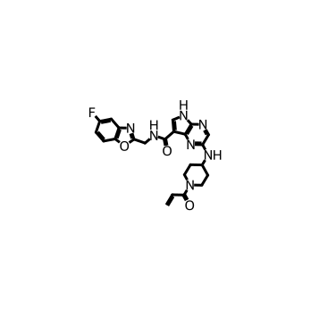 C=CC(=O)N1CCC(Nc2cnc3[nH]cc(C(=O)NCc4nc5cc(F)ccc5o4)c3n2)CC1